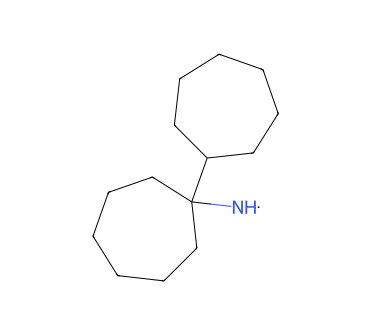 [NH]C1(C2CCCCCC2)CCCCCC1